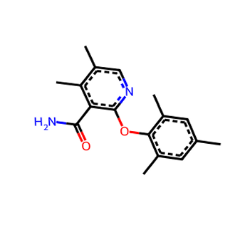 Cc1cc(C)c(Oc2ncc(C)c(C)c2C(N)=O)c(C)c1